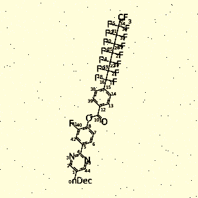 CCCCCCCCCCc1cnc(-c2ccc(OC(=O)c3ccc(C(F)(F)C(F)(F)C(F)(F)C(F)(F)C(F)(F)C(F)(F)C(F)(F)C(F)(F)F)cc3)c(F)c2)nc1